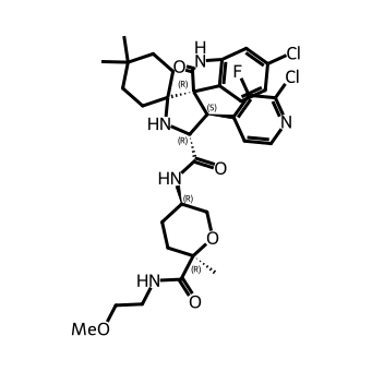 COCCNC(=O)[C@@]1(C)CC[C@@H](NC(=O)[C@@H]2NC3(CCC(C)(C)CC3)[C@@]3(C(=O)Nc4cc(Cl)ccc43)[C@H]2c2ccnc(Cl)c2F)CO1